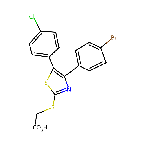 O=C(O)CSc1nc(-c2ccc(Br)cc2)c(-c2ccc(Cl)cc2)s1